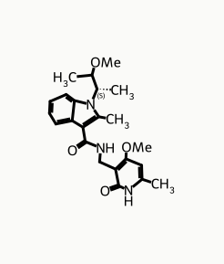 COc1cc(C)[nH]c(=O)c1CNC(=O)c1c(C)n([C@@H](C)C(C)OC)c2ccccc12